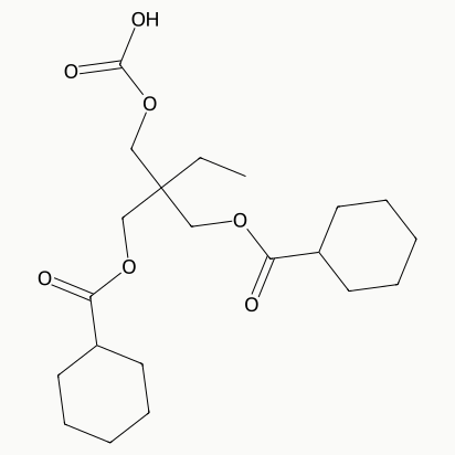 CCC(COC(=O)O)(COC(=O)C1CCCCC1)COC(=O)C1CCCCC1